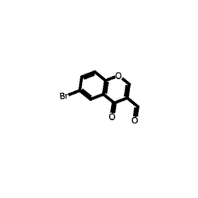 O=Cc1coc2ccc(Br)cc2c1=O